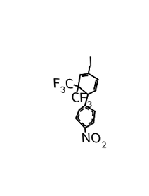 O=[N+]([O-])c1ccc(C2C=CC(I)=CC2(C(F)(F)F)C(F)(F)F)cc1